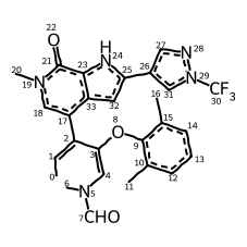 C/C=C(\C(=C/N(C)C=O)Oc1c(C)cccc1C)c1cn(C)c(=O)c2[nH]c(-c3cnn(C(F)(F)F)c3)cc12